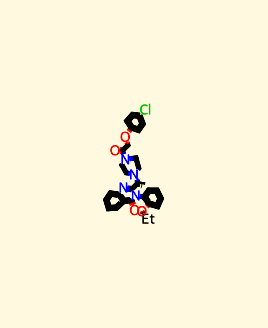 CCOc1ccccc1-n1c([C@H](C)N2CCN(C(=O)COc3ccc(Cl)cc3)CC2)nc2ccccc2c1=O